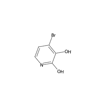 Oc1nccc(Br)c1O